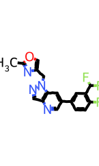 Cc1nc(Cn2ncc3ncc(-c4ccc(F)c(C(F)F)c4)cc32)co1